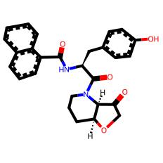 O=C(N[C@@H](Cc1ccc(O)cc1)C(=O)N1CCC[C@@H]2OCC(=O)[C@@H]21)c1cccc2ccccc12